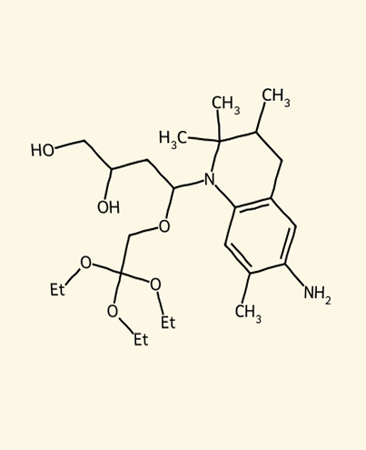 CCOC(COC(CC(O)CO)N1c2cc(C)c(N)cc2CC(C)C1(C)C)(OCC)OCC